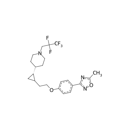 Cc1nc(-c2ccc(OCCC3C[C@@H]3C3CCN(CC(F)(F)C(F)(F)F)CC3)cc2)no1